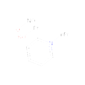 CCC[n+]1ccccc1.CCO.O=[N+]([O-])[O-]